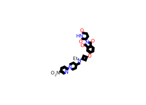 CCN(CC1CCN(c2ccc([N+](=O)[O-])cn2)CC1)[C@H]1C[C@H](Oc2ccc3c(c2)C(=O)N(C2CCC(=O)NC2=O)C3=O)C1